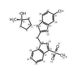 C[C@]1(O)CC[C@@H](n2c(Cn3nc(S(C)(=O)=O)c4ccncc43)nc3cc(Cl)ccc32)C1